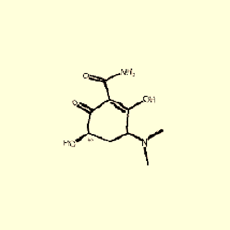 CN(C)C1C[C@@H](O)C(=O)C(C(N)=O)=C1O